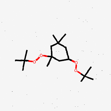 CC1(C)CC(OOC(C)(C)C)CC(C)(OOC(C)(C)C)C1